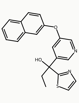 CCC(O)(c1cncc(Oc2ccc3ccccc3c2)c1)c1nccs1